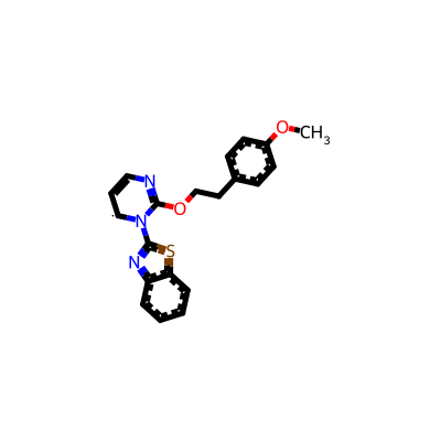 COc1ccc(CCOC2=NC=C[CH]N2c2nc3ccccc3s2)cc1